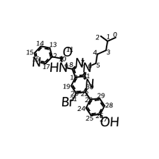 CC(C)CCCn1nc(NC(=O)c2cccnc2)c2cc(Br)c(-c3ccc(O)cc3)nc21